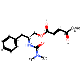 CCN(CC)C(=O)N[C@H](COC(=O)/C=C/C(=O)OC)Cc1ccccc1